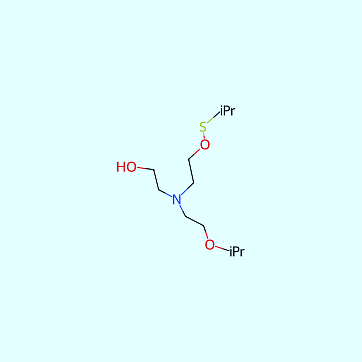 CC(C)OCCN(CCO)CCOSC(C)C